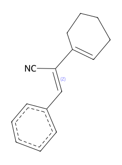 N#C/C(=C\c1ccccc1)C1=CCCCC1